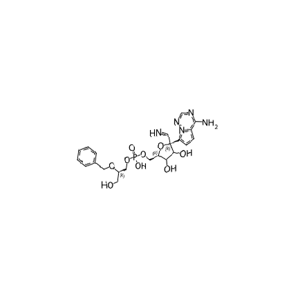 N=C[C@@]1(c2ccc3c(N)ncnn23)O[C@H](COP(=O)(O)OC[C@@H](CO)OCc2ccccc2)C(O)C1O